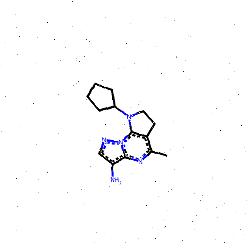 Cc1nc2c(N)cnn2c2c1CCN2C1CCCC1